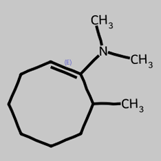 CC1CCCCC/C=C\1N(C)C